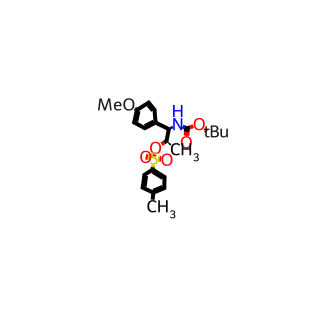 COc1ccc([C@@H](NC(=O)OC(C)(C)C)[C@H](C)OS(=O)(=O)c2ccc(C)cc2)cc1